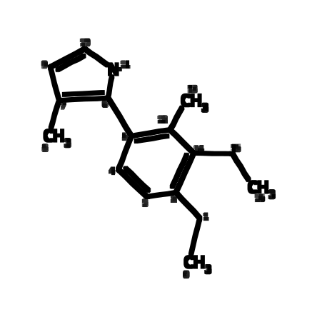 CCc1ccc(C2=C(C)C=C[N]2)c(C)c1CC